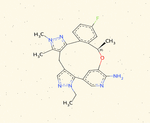 CCn1ncc2c1-c1cnc(N)c(c1)O[C@H](C)c1cc(F)ccc1-c1nn(C)c(C)c1C2